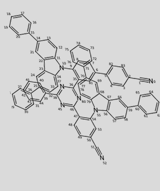 N#Cc1ccc(-c2ccc(-n3c4ccc(-c5ccccc5)cc4c4cc(-c5ccccc5)ccc43)c(-c3nc(-c4ccccc4)nc(-c4ccc(C#N)cc4-n4c5ccc(-c6ccccc6)cc5c5cc(-c6ccccc6)ccc54)n3)c2)cc1